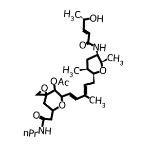 CCCNC(=O)CC1CC2(CO2)C(OC(C)=O)C(C=CC(C)=CC[C@@H]2O[C@H](C)[C@H](NC(=O)C=C[C@H](C)O)C[C@@H]2C)O1